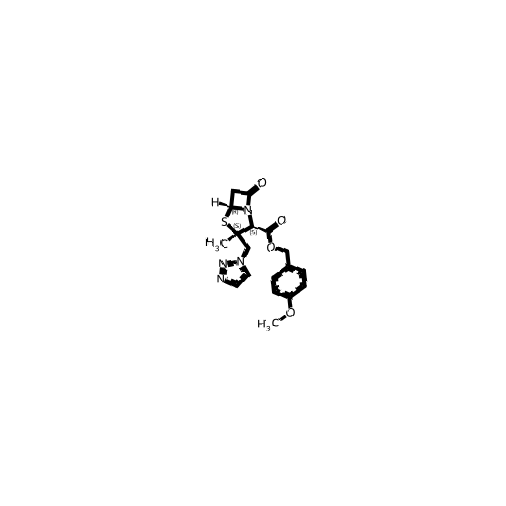 COc1ccc(COC(=O)[C@@H]2N3C(=O)C[C@H]3S[C@@]2(C)Cn2ccnn2)cc1